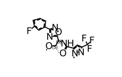 CO[C@@H](C)[C@H](NC(=O)c1cc(C(F)(F)F)nn1C)c1nc(-c2cccc(F)c2)no1